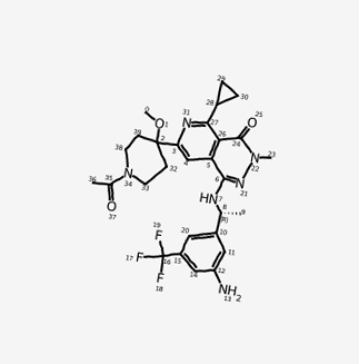 COC1(c2cc3c(N[C@H](C)c4cc(N)cc(C(F)(F)F)c4)nn(C)c(=O)c3c(C3CC3)n2)CCN(C(C)=O)CC1